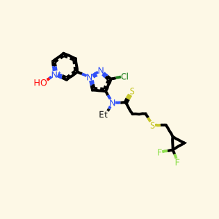 CCN(C(=S)CCSCC1CC1(F)F)c1cn(-c2ccc[n+](O)c2)nc1Cl